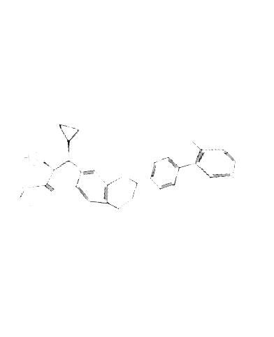 COC(=O)[C@@H](C)[C@H](c1ccc2c(c1)O[C@H](c1ccc(-c3cc(C)ccc3F)cc1)CC2)C1CC1